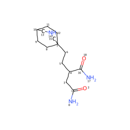 NC(=O)CC(CCC12CCC(CC1)CNC2)C(N)=O